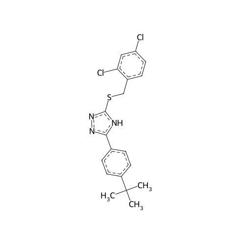 CC(C)(C)c1ccc(-c2nnc(SCc3ccc(Cl)cc3Cl)[nH]2)cc1